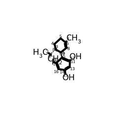 C=C(C)[C@@H]1CCC(C)=C[C@H]1c1c(O)cc(O)cc1I